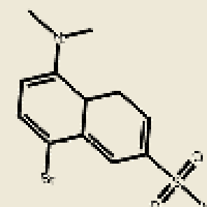 CN(C)C1=CC=C(Br)C2=CC(S(N)(=O)=O)=CCC21